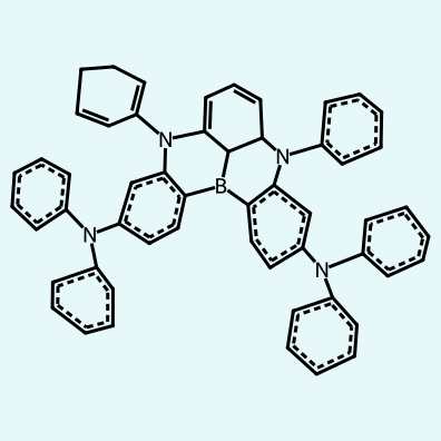 C1=CC2C3B(c4ccc(N(c5ccccc5)c5ccccc5)cc4N(C4=CCCC=C4)C3=C1)c1ccc(N(c3ccccc3)c3ccccc3)cc1N2c1ccccc1